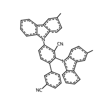 Cc1ccc2c(c1)c1ccccc1n2-c1ccc(-c2cccc(C#N)c2)c(-n2c3ccccc3c3cc(C)ccc32)c1C#N